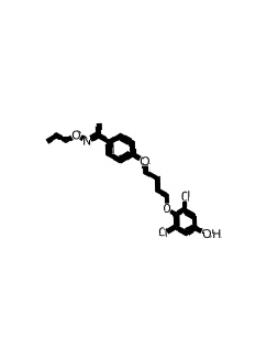 CCCON=C(C)c1ccc(OCCCCOc2c(Cl)cc(O)cc2Cl)cc1